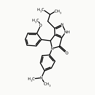 COc1ccccc1C1c2c(CC(C)C)n[nH]c2C(=O)N1c1ccc(N(C)C)cc1